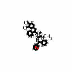 CN1C(=O)C(NC(=O)C(Cc2ccc(Cl)c(Cl)c2)c2ccccc2)N=C(N2CC3CCC(CC3)C2)c2ccccc21